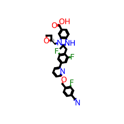 CC1(Cc2c(F)cc(-c3cccc(OCc4ccc(C#N)cc4F)n3)cc2F)Nc2ccc(C(=O)O)cc2N1C[C@@H]1CCO1